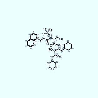 CCS(=O)(=O)C[C@@H](Cc1cccc2ccccc12)C(=O)N[C@@H](CO)C(=O)N[C@@H](CC1CCCCC1)[C@@H](O)[C@@H](O)CN1CCOCC1